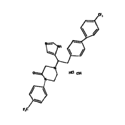 Cl.Cl.O=C1CN(C(Cc2ccc(-c3ccc(C(F)(F)F)cc3)cc2)c2cnc[nH]2)CCN1c1ccc(C(F)(F)F)cc1